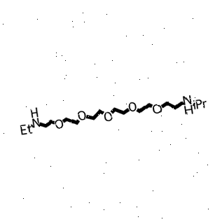 CCNCCOCCOCCOCCOCCOCCNC(C)C